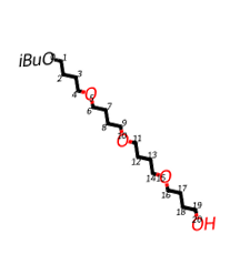 CC(C)COCCCCOCCCCOCCCCOCCCCO